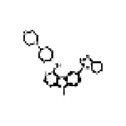 c1nc(N[C@H]2CC[C@H](N3CCOCC3)CC2)c2c(n1)[nH]c1ccc(-c3nnc4n3CCC4)cc12